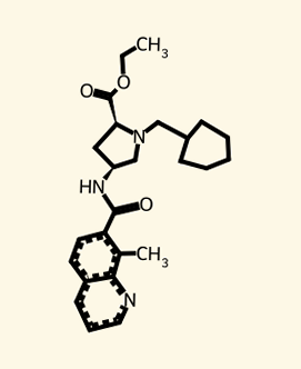 CCOC(=O)[C@@H]1C[C@H](NC(=O)c2ccc3cccnc3c2C)CN1CC1CCCCC1